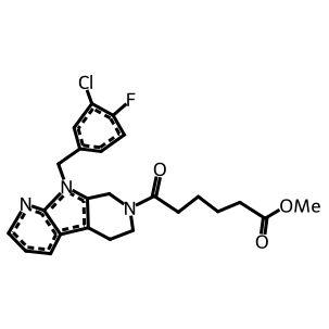 COC(=O)CCCCC(=O)N1CCc2c(n(Cc3ccc(F)c(Cl)c3)c3ncccc23)C1